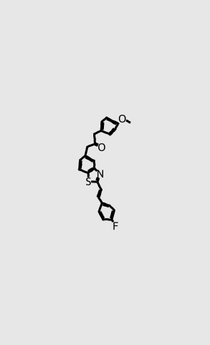 COc1ccc(CC(=O)Cc2ccc3sc(C=Cc4ccc(F)cc4)nc3c2)cc1